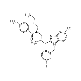 CCc1ccc2c(c1)nc(CC(C)CN(CCCN)C(=O)c1ccc(C)cc1)n2Cc1cccc(F)c1